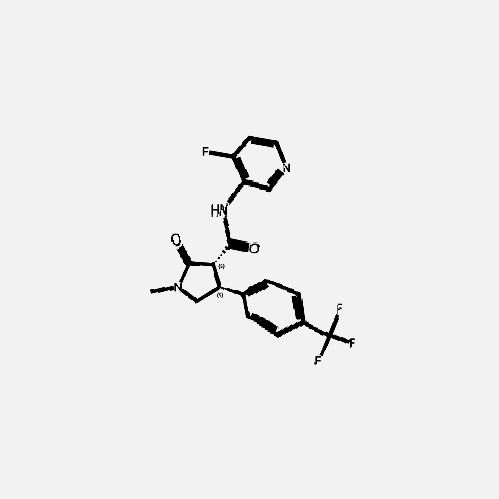 CN1C[C@H](c2ccc(C(F)(F)F)cc2)[C@@H](C(=O)Nc2cnccc2F)C1=O